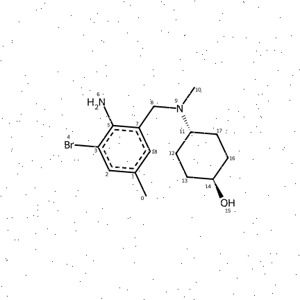 Cc1cc(Br)c(N)c(CN(C)[C@H]2CC[C@H](O)CC2)c1